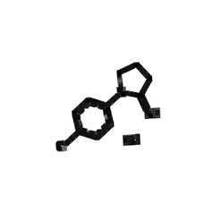 Cl.N=C1CCCN1c1ccc(Cl)cc1